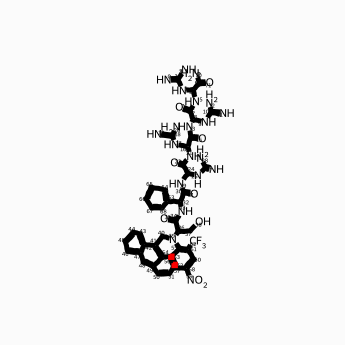 N=C(N)NC(NC(=O)C(NC(=N)N)NC(=O)C(NC(=N)N)NC(=O)C(NC(=N)N)NC(=O)C(NC(=O)C(CO)N(Cc1c2ccccc2cc2ccccc12)c1ccc([N+](=O)[O-])cc1C(F)(F)F)c1ccccc1)C(N)=O